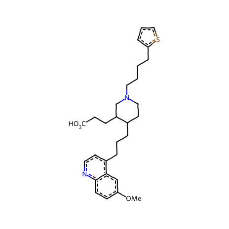 COc1ccc2nccc(CCCC3CCN(CCCCc4cccs4)CC3CCC(=O)O)c2c1